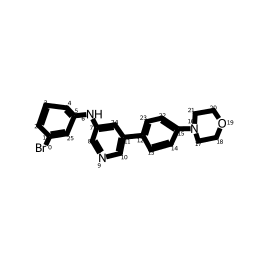 Brc1cccc(Nc2cncc(-c3ccc(N4CCOCC4)cc3)c2)c1